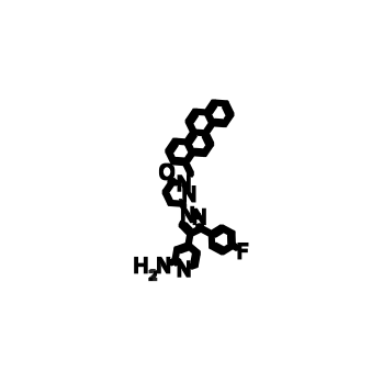 Nc1cc(-c2cn(C3=NN(Cc4cccc5c4ccc4c6ccccc6ccc54)C(=O)CC3)nc2-c2ccc(F)cc2)ccn1